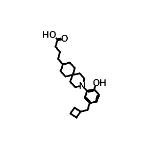 O=C(O)CCCC1CCC2(CC1)CCN(c1cc(CC3CCC3)ccc1O)CC2